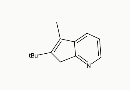 CC1=C(C(C)(C)C)Cc2ncccc21